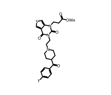 COC(=O)CCn1c(=O)n(CCN2CCC(C(=O)c3ccc(F)cc3)CC2)c(=O)c2cscc21